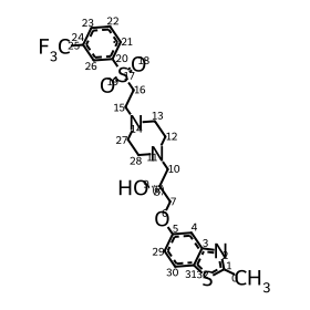 Cc1nc2cc(OC[C@H](O)CN3CCN(CCS(=O)(=O)c4[c]ccc(C(F)(F)F)c4)CC3)ccc2s1